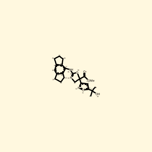 COC(=O)C1(c2cc(C(C)(C)O)on2)CN=C(Nc2c3c(cc4c2CCC4)CCC3)O1